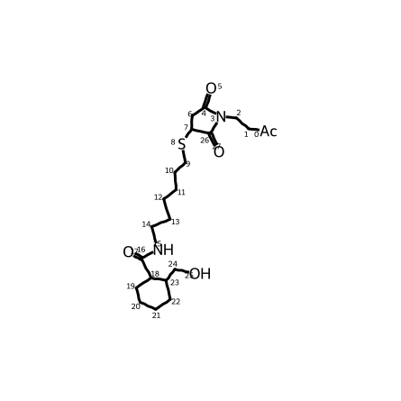 CC(=O)CCN1C(=O)CC(SCCCCCCNC(=O)C2CCCCC2CO)C1=O